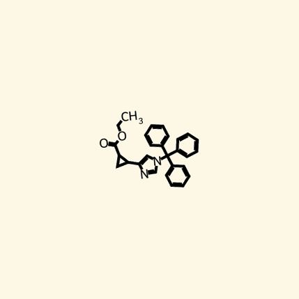 CCOC(=O)C1CC1c1cn(C(c2ccccc2)(c2ccccc2)c2ccccc2)cn1